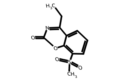 CCc1nc(=O)oc2c(S(C)(=O)=O)cccc12